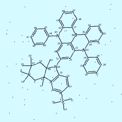 CC1(C)CC2(C)c3cc(S(C)(C)C)ccc3N(c3cc4c5c(c3)N(c3ccccc3)c3ccccc3B5c3ccccc3N4c3ccccc3)C2(C)CC1(C)C